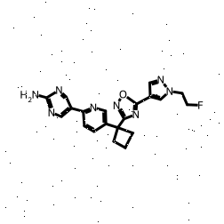 Nc1ncc(-c2ccc(C3(c4noc(-c5cnn(CCF)c5)n4)CCC3)cn2)cn1